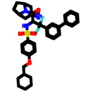 NC1CC2CCC(C1)N2C(=O)C(NS(=O)(=O)c1ccc(OCC2CCCCC2)cc1)C(F)(F)c1cccc(-c2ccccc2)c1